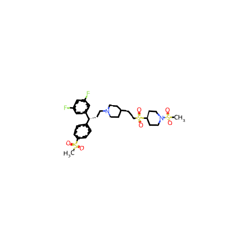 CS(=O)(=O)c1ccc([C@@H](CCN2CCC(CCS(=O)(=O)C3CCN(S(C)(=O)=O)CC3)CC2)c2cc(F)cc(F)c2)cc1